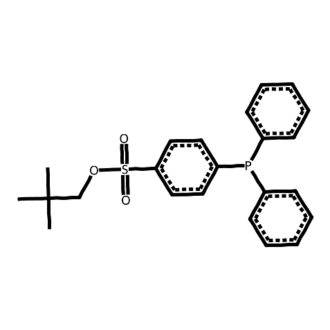 CC(C)(C)COS(=O)(=O)c1ccc(P(c2ccccc2)c2ccccc2)cc1